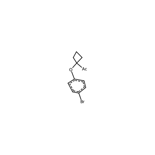 CC(=O)C1(Oc2ccc(Br)cc2)CCC1